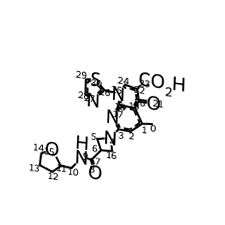 Cc1cc(N2CC(C(=O)NCC3CCCO3)C2)nc2c1c(=O)c(C(=O)O)cn2-c1nccs1